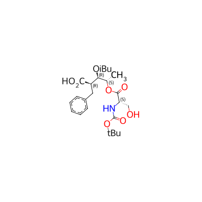 CC(C)CO[C@@H]([C@H](C)OC(=O)[C@H](CO)NC(=O)OC(C)(C)C)[C@@H](Cc1ccccc1)C(=O)O